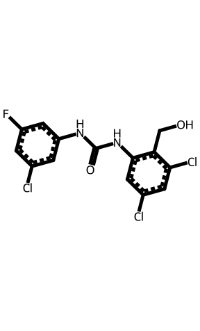 O=C(Nc1cc(F)cc(Cl)c1)Nc1cc(Cl)cc(Cl)c1CO